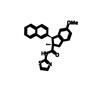 COc1ccc2c(c1)[C@@H](c1ccc3ccccc3c1)[C@](C)(C(=O)Nc1nccs1)C2